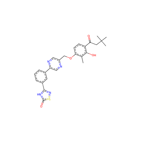 Cc1c(OCc2cnc(-c3cccc(-c4nsc(=O)[nH]4)c3)cn2)ccc(C(=O)CC(C)(C)C)c1O